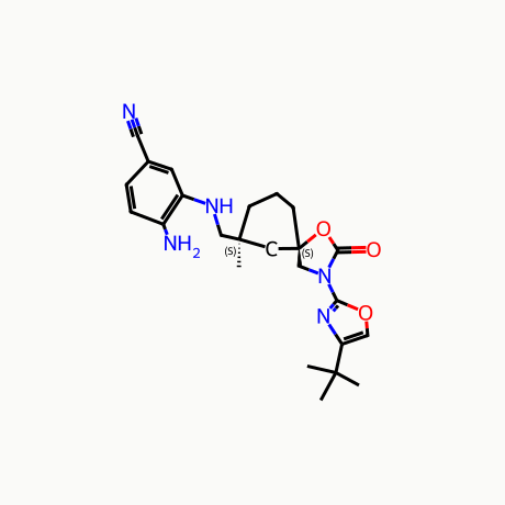 CC(C)(C)c1coc(N2C[C@@]3(CCC[C@](C)(CNc4cc(C#N)ccc4N)C3)OC2=O)n1